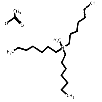 CC(=O)[O-].CCCCCCC[N+](C)(CCCCCCC)CCCCCCC